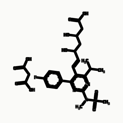 CC(C)c1nc(N(C)S(C)(=O)=O)nc(-c2ccc(F)cc2)c1/C=C/C(O)CC(O)CC(=O)O.O=C(O)CC(=O)O